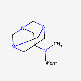 CCCCCN(C)C12CN3CN(CN(C3)C1)C2